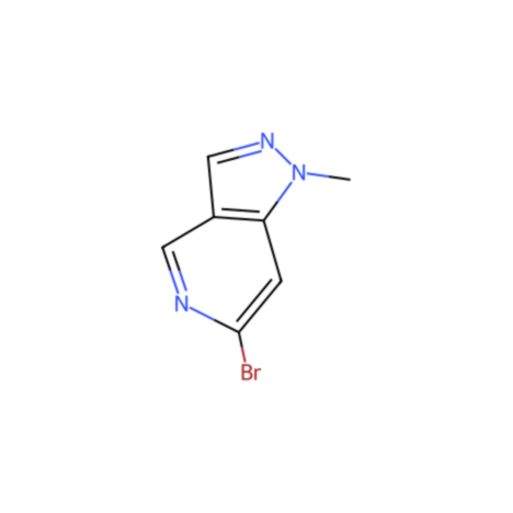 Cn1ncc2cnc(Br)cc21